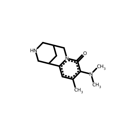 Cc1cc2n(c(=O)c1N(C)C)CC1CNCC2C1